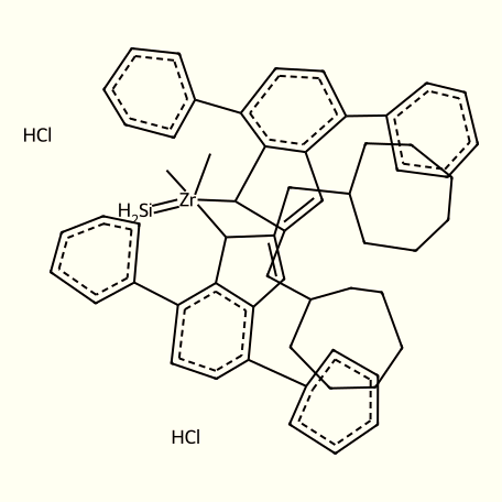 Cl.Cl.[CH3][Zr]([CH3])(=[SiH2])([CH]1C(CC2CCCCCC2)=Cc2c(-c3ccccc3)ccc(-c3ccccc3)c21)[CH]1C(CC2CCCCCC2)=Cc2c(-c3ccccc3)ccc(-c3ccccc3)c21